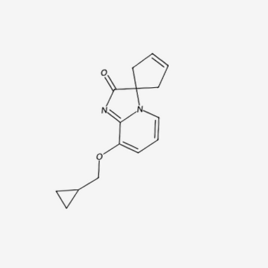 O=C1N=C2C(OCC3CC3)=CC=CN2C12CC=CC2